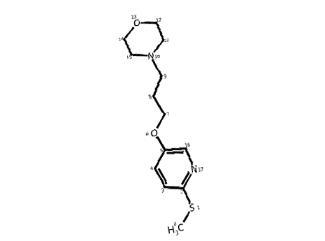 CSc1ccc(OCCCN2CCOCC2)cn1